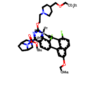 CCOC(=O)COCC1CCN(CCOc2nc(N3CC4CCC(C3)N4C(=O)OC(C)(C)C)c3ccc(-c4cc(OCOC)cc5ccc(F)c(C#C[Si](C(C)C)(C(C)C)C(C)C)c45)c(F)c3n2)CC1